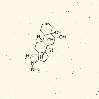 C[C@]12CC[C@H]3[C@@H](C[C@@H](O)[C@@]4(O)CC=CC[C@]34C)[C@@H]1CCC2=NN